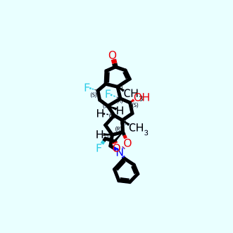 C[C@]12C=CC(=O)C=C1[C@@H](F)C[C@H]1[C@@H]3C[C@H]4CN(c5ccccc5)O[C@@]4(C(=O)CF)[C@@]3(C)C[C@H](O)[C@@]12F